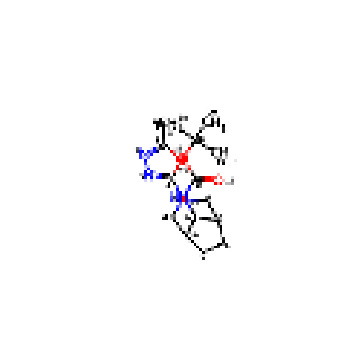 Cc1nnc(N2CC3CCC(C2)C3NC(=O)OC(C)(C)C)o1